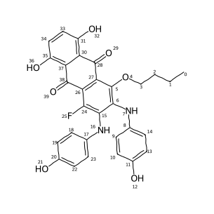 CCCCOc1c(Nc2ccc(O)cc2)c(Nc2ccc(O)cc2)c(F)c2c1C(=O)c1c(O)ccc(O)c1C2=O